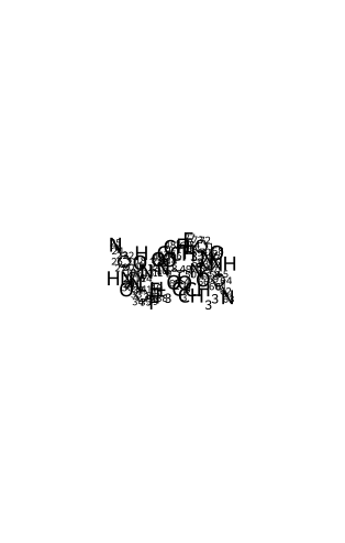 CC(C)(C)OC(=O)C(CCN(CCN1CC2=C(C1=O)[C@@H](c1ccc(C#N)cc1)NC(=O)N2c1cccc(C(F)(F)F)c1)C(=O)OC(C)(C)C)CCN1CC2=C(C1=O)[C@@H](c1ccc(C#N)cc1)NC(=O)N2c1cccc(C(F)(F)F)c1